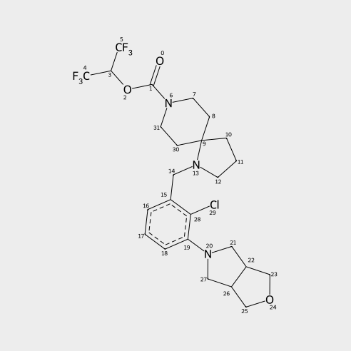 O=C(OC(C(F)(F)F)C(F)(F)F)N1CCC2(CCCN2Cc2cccc(N3CC4COCC4C3)c2Cl)CC1